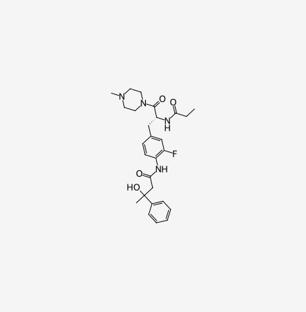 CCC(=O)N[C@H](Cc1ccc(NC(=O)CC(C)(O)c2ccccc2)c(F)c1)C(=O)N1CCN(C)CC1